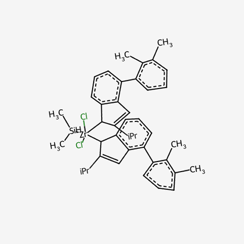 Cc1cccc(-c2cccc3c2C=C(C(C)C)[CH]3[Zr]([Cl])([Cl])([CH]2C(C(C)C)=Cc3c(-c4cccc(C)c4C)cccc32)[SiH](C)C)c1C